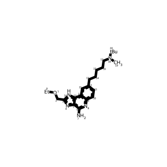 CCOCc1nc2c(N)nc3ccc(CCCCCN(C)C(C)(C)C)cc3c2[nH]1